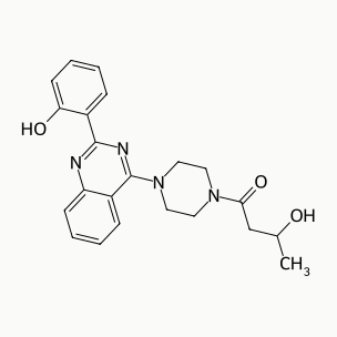 CC(O)CC(=O)N1CCN(c2nc(-c3ccccc3O)nc3ccccc23)CC1